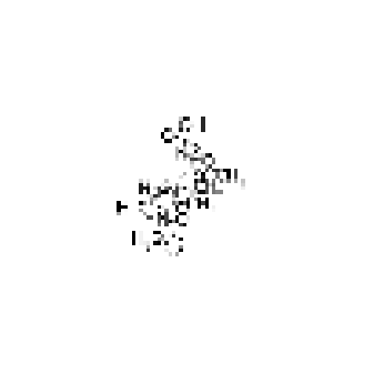 CC(=O)O[C@H](C[C@H](C(C)C)N(C)C(=O)C(NC(=O)C1CCCCN1C)C(C)C)c1nc(C(=O)O)cs1